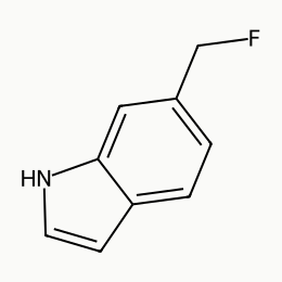 FCc1ccc2cc[nH]c2c1